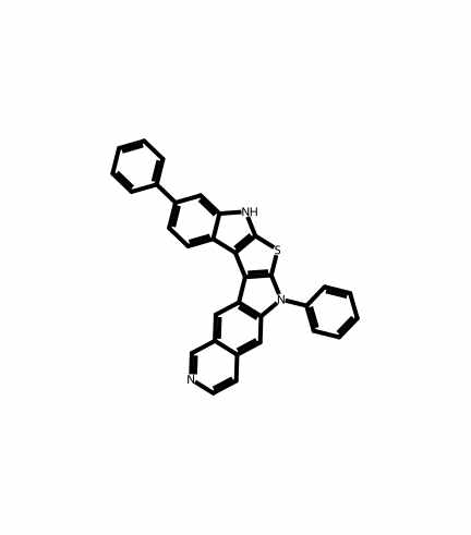 c1ccc(-c2ccc3c(c2)[nH]c2sc4c(c5cc6cnccc6cc5n4-c4ccccc4)c23)cc1